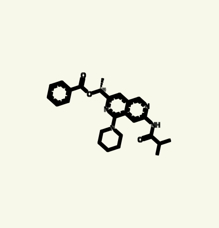 CC(C)C(=O)Nc1cc2c(N3CCCCC3)nc([C@@H](C)OC(=O)c3ccccc3)cc2cn1